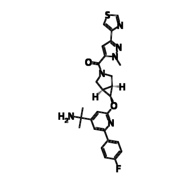 Cn1nc(-c2cscn2)cc1C(=O)N1C[C@@H]2[C@H](C1)[C@@H]2Oc1cc(C(C)(C)N)cc(-c2ccc(F)cc2)n1